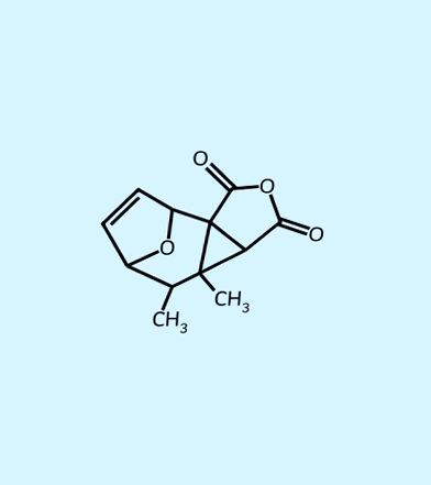 CC1C2C=CC(O2)C23C(=O)OC(=O)C2C13C